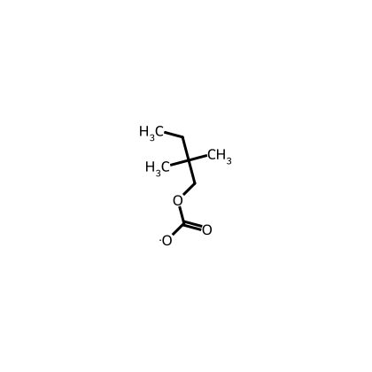 CCC(C)(C)COC([O])=O